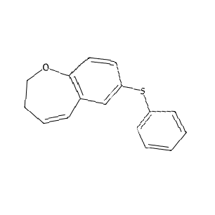 C1=Cc2cc(Sc3ccccc3)ccc2OCC1